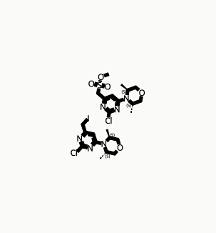 COS(=O)(=O)Cc1cc(N2[C@@H](C)COC[C@@H]2C)nc(Cl)n1.C[C@H]1COC[C@H](C)N1c1cc(CI)nc(Cl)n1